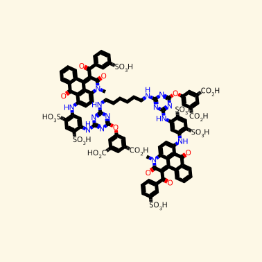 Cn1c(=O)c(C(=O)c2cccc(S(=O)(=O)O)c2)c2c3c(c(Nc4cc(Nc5nc(NCCCCCCNc6nc(Nc7cc(Nc8ccc9c%10c8C(=O)c8ccccc8-c%10c(C(=O)c8cccc(S(=O)(=O)O)c8)c(=O)n9C)c(S(=O)(=O)O)cc7S(=O)(=O)O)nc(Oc7cc(C(=O)O)cc(C(=O)O)c7)n6)nc(Oc6cc(C(=O)O)cc(C(=O)O)c6)n5)c(S(=O)(=O)O)cc4S(=O)(=O)O)ccc31)C(=O)c1ccccc1-2